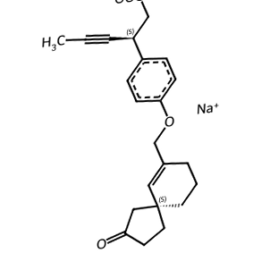 CC#C[C@@H](CC(=O)[O-])c1ccc(OCC2=C[C@@]3(CCC2)CCC(=O)C3)cc1.[Na+]